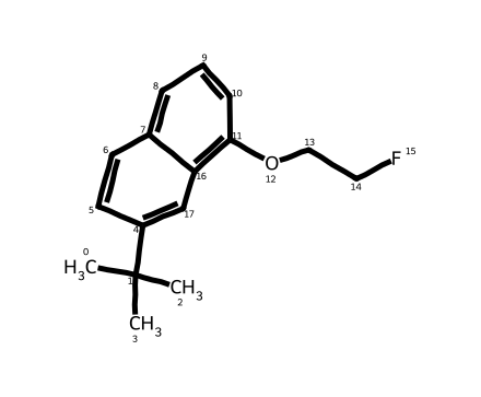 CC(C)(C)c1ccc2cccc(OCCF)c2c1